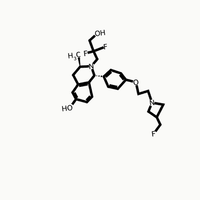 C[C@@H]1Cc2cc(O)ccc2[C@@H](c2ccc(OCCN3CC(CF)C3)cc2)N1CC(F)(F)CO